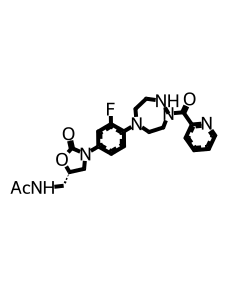 CC(=O)NC[C@H]1CN(c2ccc(N3CCNN(C(=O)c4ccccn4)CC3)c(F)c2)C(=O)O1